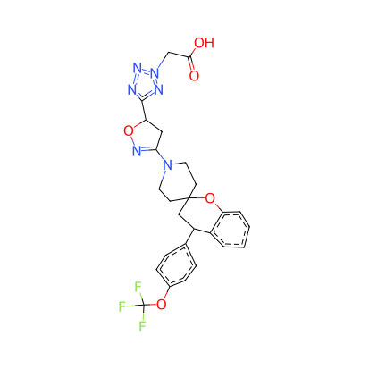 O=C(O)Cn1nnc(C2CC(N3CCC4(CC3)CC(c3ccc(OC(F)(F)F)cc3)c3ccccc3O4)=NO2)n1